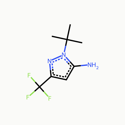 CC(C)(C)n1nc(C(F)(F)F)cc1N